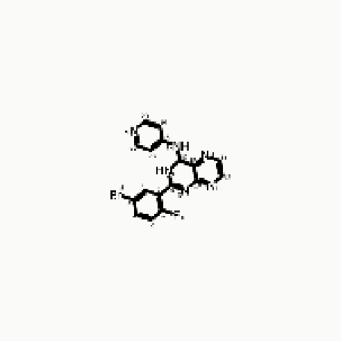 Fc1ccc(Br)cc1C1=Nc2nccnc2C(Nc2ccncc2)N1